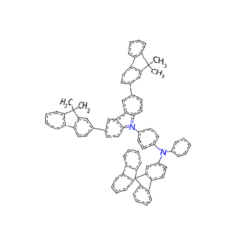 CC1(C)c2ccccc2-c2ccc(-c3ccc4c(c3)c3cc(-c5ccc6c(c5)C(C)(C)c5ccccc5-6)ccc3n4-c3ccc(N(c4ccccc4)c4ccc5c(c4)C4(c6ccccc6-c6ccccc64)c4ccccc4-5)cc3)cc21